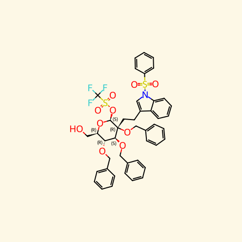 O=S(=O)(c1ccccc1)n1cc(CC[C@]2(OCc3ccccc3)[C@H](OS(=O)(=O)C(F)(F)F)O[C@H](CO)[C@@H](OCc3ccccc3)[C@@H]2OCc2ccccc2)c2ccccc21